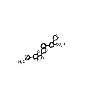 Cn1cc(-c2cc(Cl)c(C(=O)N3COc4c(cccc4-c4ccc(C(=O)O)c(N5CCSCC5)c4)C3)c(Cl)c2)cn1